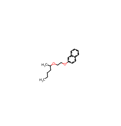 CCCCC(C)OCCOc1ccc2ccccc2c1